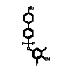 CCCCC1CCC(c2ccc(C(F)(F)Oc3cc(F)c(C#N)c(F)c3)cc2)CC1